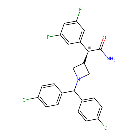 NC(=O)[C@H](c1cc(F)cc(F)c1)C1CN(C(c2ccc(Cl)cc2)c2ccc(Cl)cc2)C1